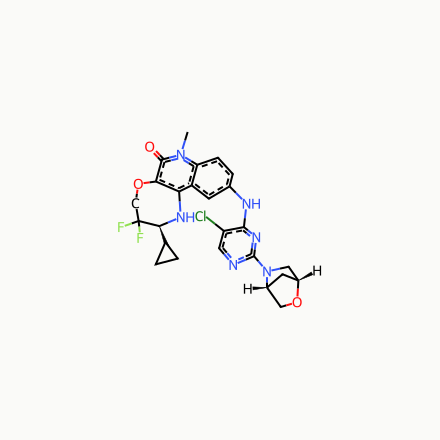 Cn1c(=O)c2c(c3cc(Nc4nc(N5C[C@H]6C[C@@H]5CO6)ncc4Cl)ccc31)N[C@@H](C1CC1)C(F)(F)CO2